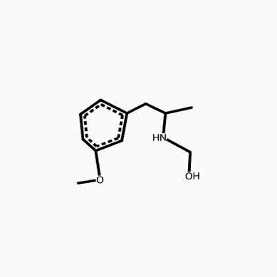 COc1cccc(CC(C)NCO)c1